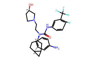 Nc1cccc([C@]23CC[C@@H](N(CCN4CC[C@@H](O)C4)C(=O)Nc4ccc(F)c(C(F)(F)F)c4)CC2C3)c1